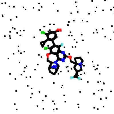 Oc1cc(Cl)c(C2CC2)c(-c2c(Cl)c3c4c(nc(OCC56CCCN5CC(=C(F)F)C6)nc4c2F)N2CC4CCC(N4)C2CO3)c1